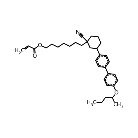 C=CC(=O)OCCCCCCCC1(C#N)CCCC(c2ccc(-c3ccc(OC(C)CCC)cc3)cc2)C1